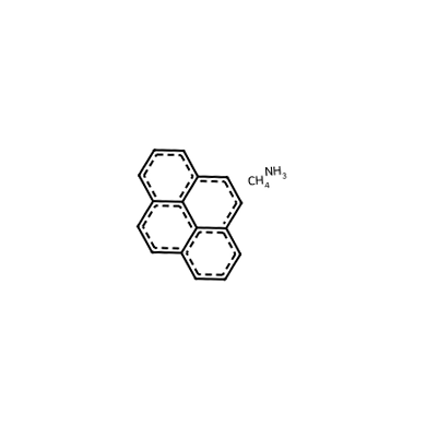 C.N.c1cc2ccc3cccc4ccc(c1)c2c34